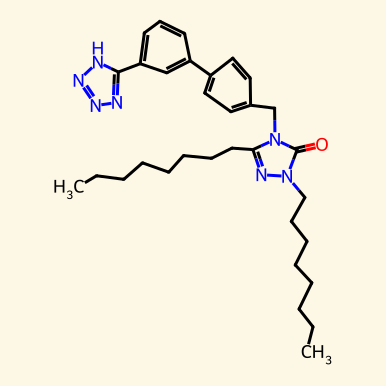 CCCCCCCCc1nn(CCCCCCCC)c(=O)n1Cc1ccc(-c2cccc(-c3nnn[nH]3)c2)cc1